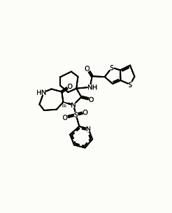 O=C(NC1(C(=O)N([C@H]2CCCNCC2=O)S(=O)(=O)c2ccccn2)CCCCC1)C1C=C2SCC=C2S1